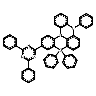 c1ccc(B2c3ccccc3N3c4ccc(-c5nc(-c6ccccc6)nc(-c6ccccc6)n5)cc4[Si](c4ccccc4)(c4ccccc4)c4cccc2c43)cc1